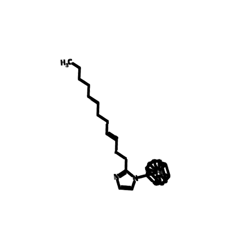 CCCCCCCCC=CCCc1nccn1[C]12[CH]3[CH]4[CH]5[CH]1[Fe]45321678[CH]2[CH]1[CH]6[CH]7[CH]28